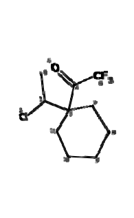 CC(Cl)C1(C(=O)C(F)(F)F)CCCCC1